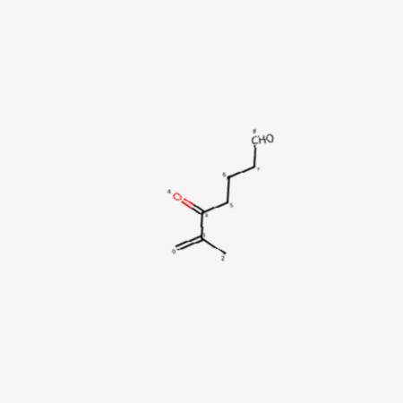 C=C(C)C(=O)CCCC=O